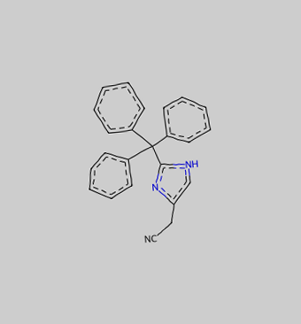 N#CCc1c[nH]c(C(c2ccccc2)(c2ccccc2)c2ccccc2)n1